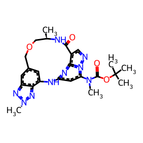 C[C@@H]1COCc2cc(c3nn(C)nc3c2)Nc2cc(N(C)C(=O)OC(C)(C)C)n3ncc(c3n2)C(=O)N1